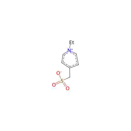 CC[n+]1ccc(CS(=O)(=O)[O-])cc1